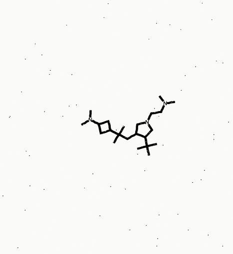 CN(C)CCN1CC(CC(C)(C)C2CC(N(C)C)C2)C(C(C)(C)C)C1